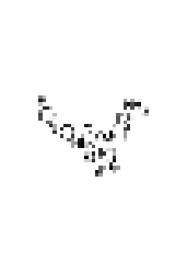 CCCOC1(C)C[C@@H](C(=O)NCc2cc(N)cs2)N(C(=O)CNC(=O)C2=CCC(OC3=CCC(F)C=C3)C=C2)C1